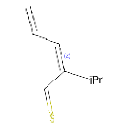 C=C/C=C(\C=S)C(C)C